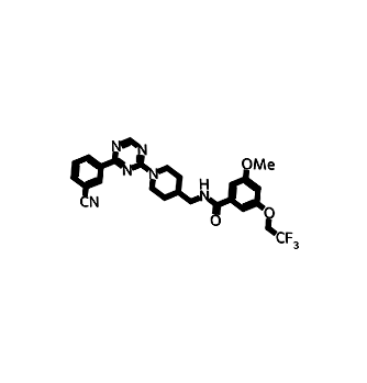 COc1cc(OCC(F)(F)F)cc(C(=O)NCC2CCN(c3ncnc(-c4cccc(C#N)c4)n3)CC2)c1